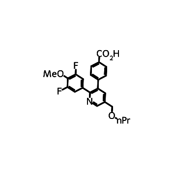 CCCOCc1cnc(-c2cc(F)c(OC)c(F)c2)c(-c2ccc(C(=O)O)cc2)c1